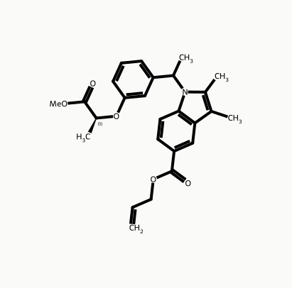 C=CCOC(=O)c1ccc2c(c1)c(C)c(C)n2C(C)c1cccc(O[C@@H](C)C(=O)OC)c1